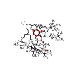 CN(CCN(CCO[Si](C)(C)C(C)(C)C)CCO[Si](C)(C)C(C)(C)C)CC(CN(C)CCN(CCO[Si](C)(C)C(C)(C)C)CCO[Si](C)(C)C(C)(C)C)OC(CN(C)CCN(CCO[Si](C)(C)C(C)(C)C)CCO[Si](C)(C)C(C)(C)C)CN(C)CCN(CCO[Si](C)(C)C(C)(C)C)CCO[Si](C)(C)C(C)(C)C